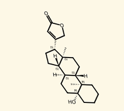 C[C@]12CC[C@H]3[C@@H](CC[C@]4(O)CCCC[C@]34C)[C@@H]1CC[C@@H]2C1=CC(=O)OC1